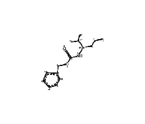 CCC[C@@H](NC(=O)OCc1ccccc1)C(C)C